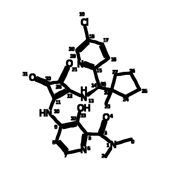 CN(C)C(=O)c1nccc(Nc2c(N[C@@H](c3ccc(Cl)cn3)C3(C)CCCC3)c(=O)c2=O)c1O